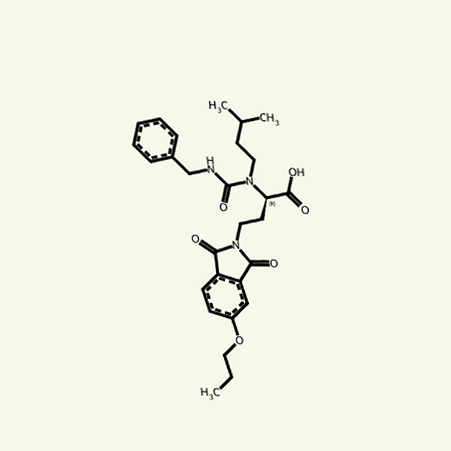 CCCOc1ccc2c(c1)C(=O)N(CC[C@H](C(=O)O)N(CCC(C)C)C(=O)NCc1ccccc1)C2=O